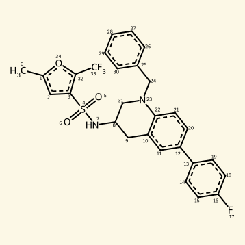 Cc1cc(S(=O)(=O)NC2Cc3cc(-c4ccc(F)cc4)ccc3N(Cc3ccccc3)C2)c(C(F)(F)F)o1